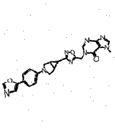 Cn1cnc2ncn(Cc3nc(C4C5CN(c6ccc(-c7cnco7)cc6)CC54)no3)c(=O)c21